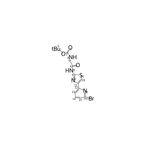 CC(C)(C)OC(=O)NCC(=O)Nc1nc(-c2cccc(Br)n2)cs1